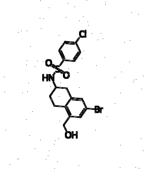 O=S(=O)(NC1CCc2c(CO)cc(Br)cc2C1)c1ccc(Cl)cc1